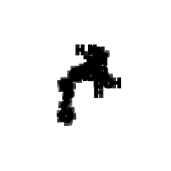 Nc1ncnc2c1nc(NCc1ccc(-c3cccc(OCCCN4CCCCC4)c3)cc1)n2[C@@H]1O[C@H](CO)[C@@H](O)[C@H]1O